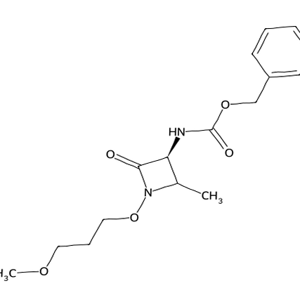 COCCCON1C(=O)[C@@H](NC(=O)OCc2ccccc2)C1C